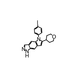 Ic1ccc(-n2c(C3CCOCC3)cc3cc4[nH]ncc4cc32)cc1